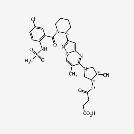 Cc1cn2nc([C@@H]3CCCCN3C(=O)c3cc(Cl)ccc3NS(C)(=O)=O)cc2nc1N1C[C@@H](C#N)[C@@H](OC(=O)CCC(=O)O)C1